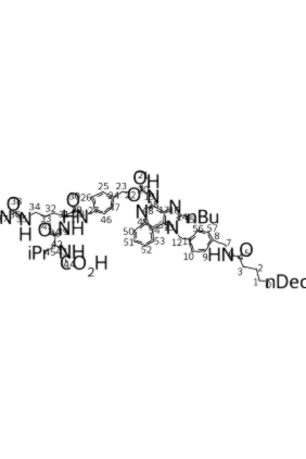 CCCCCCCCCCCCCC(=O)NCc1ccc(Cn2c(CCCC)nc3c(NC(=O)OCc4ccc(NC(=O)C(CCCNC(N)=O)NC(=O)C(NC(=O)O)C(C)C)cc4)nc4ccccc4c32)cc1